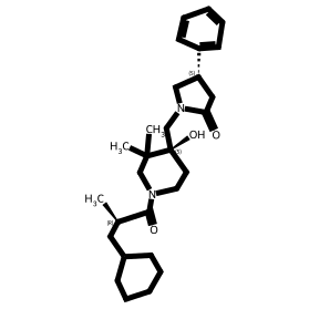 C[C@H](CC1CCCCC1)C(=O)N1CC[C@@](O)(CN2C[C@H](c3ccccc3)CC2=O)C(C)(C)C1